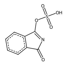 O=C1N=C(OS(=O)(=O)O)c2ccccc21